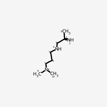 CC(=N)CNCCCN(C)C